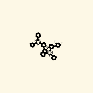 Fc1ccc(-c2ccc(-n3c4ccccc4c4cc(-c5nc(-c6ccccc6)nc(-c6ccccc6)n5)ccc43)c(-c3nc(-c4ccccc4)nc(-c4ccccc4)n3)c2)c(F)c1